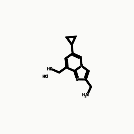 Cl.NCc1cn2cc(C3CC3)cc(CO)c2n1